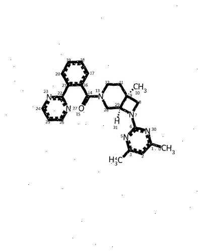 Cc1cc(C)nc(N2C[C@]3(C)CCN(C(=O)c4ccccc4-c4ncccn4)C[C@H]23)n1